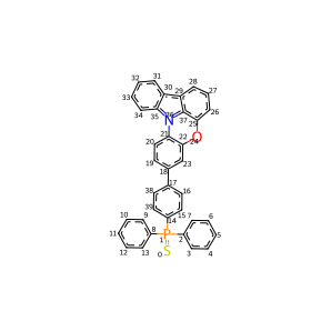 S=P(c1ccccc1)(c1ccccc1)c1ccc(-c2ccc3c(c2)Oc2cccc4c5ccccc5n-3c24)cc1